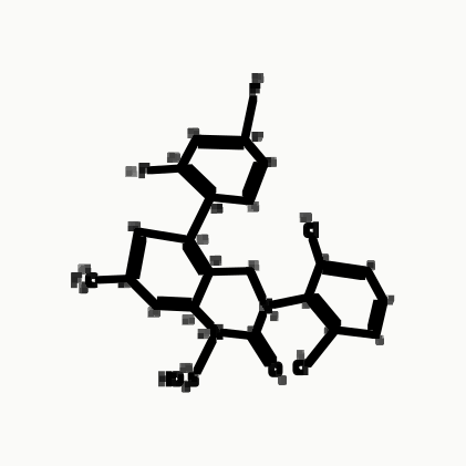 O=C1N(c2c(Cl)cccc2Cl)Cc2c(-c3ccc(F)cc3F)cc(C(F)(F)F)cc2N1S(=O)(=O)O